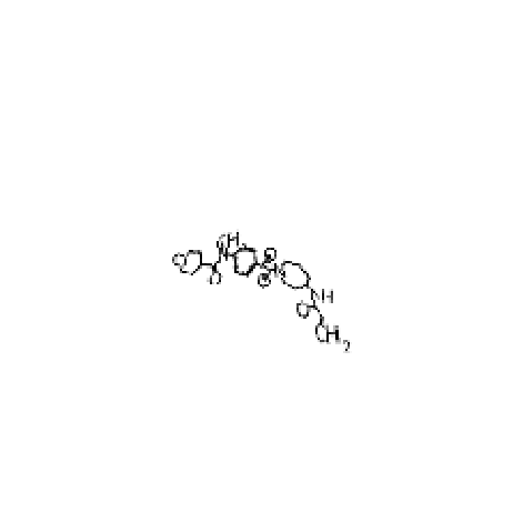 C=CC(=O)NC1CCCN(S(=O)(=O)c2ccc(N(C)C(=O)C3CCOCC3)cc2)CC1